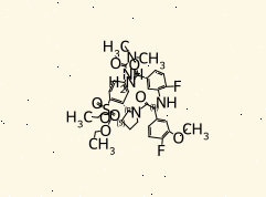 CCOC(=O)[C@H]1CCN(C(=O)[C@H](Nc2cc(C(N)=O)ccc2F)c2ccc(F)c(OC)c2)[C@H]1c1cc(NC(=O)N(C)C)ccc1S(=O)(=O)CC